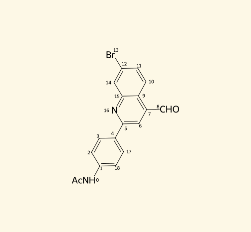 CC(=O)Nc1ccc(-c2cc(C=O)c3ccc(Br)cc3n2)cc1